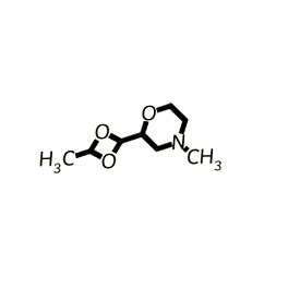 CC1OC(C2CN(C)CCO2)O1